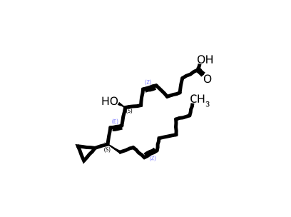 CCCCC/C=C\CC[C@H](/C=C/[C@@H](O)C/C=C\CCCC(=O)O)C1CC1